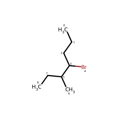 CCCC(Br)C(C)CC